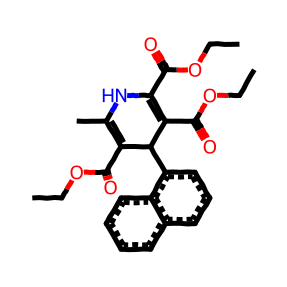 CCOC(=O)C1=C(C(=O)OCC)C(c2cccc3ccccc23)C(C(=O)OCC)=C(C)N1